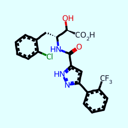 O=C(N[C@H](Cc1ccccc1Cl)[C@@H](O)C(=O)O)c1cc(-c2ccccc2C(F)(F)F)n[nH]1